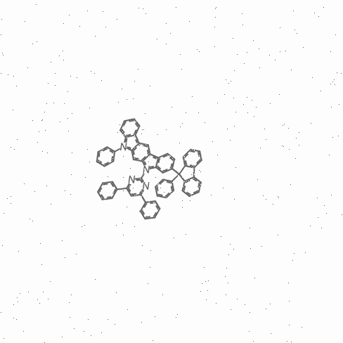 c1ccc(-c2cc(-c3ccccc3)nc(-n3c4cc(C5(c6ccccc6)c6ccccc6-c6ccccc65)ccc4c4cc5c6ccccc6n(-c6ccccc6)c5cc43)n2)cc1